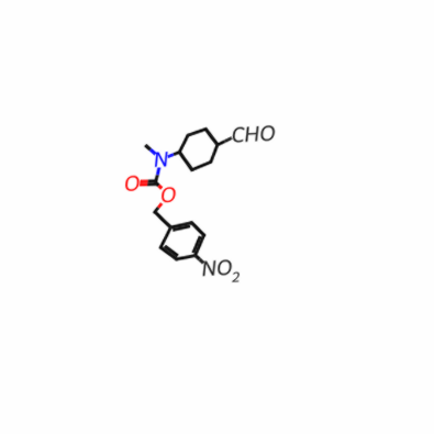 CN(C(=O)OCc1ccc([N+](=O)[O-])cc1)C1CCC(C=O)CC1